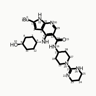 CCC(C)c1cc2c(N[C@H]3CC[C@H](O)CC3)c(C(=O)NC3CCN(C4=NCCCN4)CC3)cnc2[nH]1